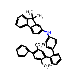 CCOC(=O)c1cc(-c2ccccc2-c2ccc(Nc3ccc4c(c3)C(C)(C)c3ccccc3-4)cc2)c(C(=O)OCC)cc1-c1ccccc1